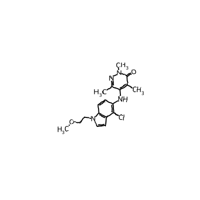 COCCn1ccc2c(Cl)c(Nc3c(C)nn(C)c(=O)c3C)ccc21